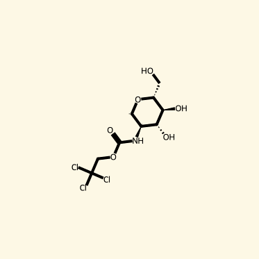 O=C(N[C@H]1[CH]O[C@H](CO)[C@@H](O)[C@@H]1O)OCC(Cl)(Cl)Cl